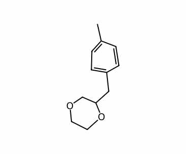 Cc1ccc(CC2COCCO2)cc1